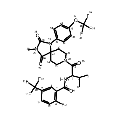 CC(C)C(NC(=O)c1cc(C(F)(F)F)ccc1F)C(=O)N1CCC2(CC1)C(=O)N(C)C(=O)N2c1ccc(OC(F)(F)F)cc1